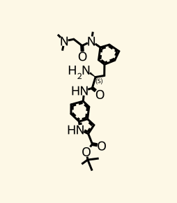 CN(C)CC(=O)N(C)c1cccc(C[C@H](N)C(=O)Nc2ccc3[nH]c(C(=O)OC(C)(C)C)cc3c2)c1